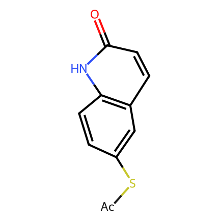 CC(=O)Sc1ccc2[nH]c(=O)ccc2c1